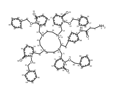 NCCC(=O)Nc1ccc(CC2CN(Cc3cccc(=O)n3OCc3ccccc3)CCN(Cc3cccc(=O)n3OCc3ccccc3)CCN(Cc3cccc(=O)n3OCc3ccccc3)CCN2Cc2cccc(=O)n2OCc2ccccc2)cc1